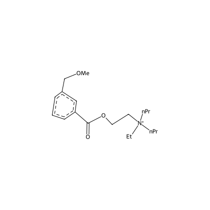 CCC[N+](CC)(CCC)CCOC(=O)c1cccc(COC)c1